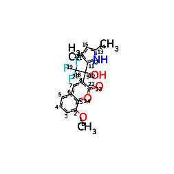 COc1cccc2cc(C(O)(c3[nH]c(C)cc3C)C(F)(F)F)c(=O)oc12